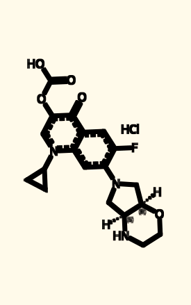 Cl.O=C(O)Oc1cn(C2CC2)c2cc(N3C[C@@H]4NCCO[C@@H]4C3)c(F)cc2c1=O